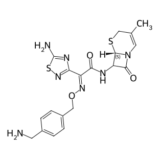 CC1=CN2C(=O)C(NC(=O)C(=NOCc3ccc(CN)cc3)c3nsc(N)n3)[C@@H]2SC1